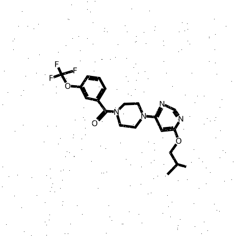 CC(C)COc1cc(N2CCN(C(=O)c3cccc(OC(F)(F)F)c3)CC2)ncn1